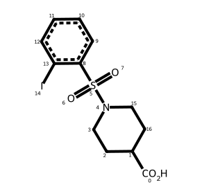 O=C(O)C1CCN(S(=O)(=O)c2ccccc2I)CC1